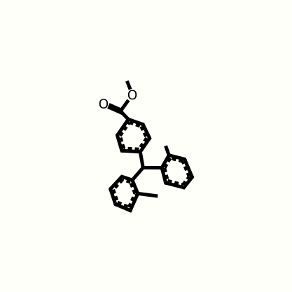 COC(=O)c1ccc(C(c2ccccc2C)c2ccccc2C)cc1